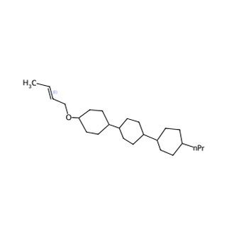 C/C=C/COC1CCC(C2CCC(C3CCC(CCC)CC3)CC2)CC1